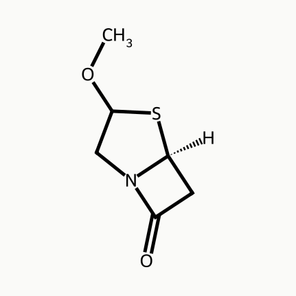 COC1CN2C(=O)C[C@@H]2S1